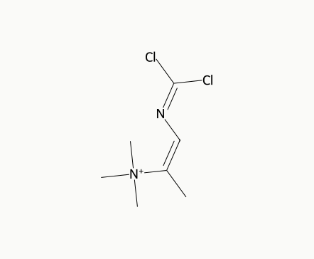 CC(=CN=C(Cl)Cl)[N+](C)(C)C